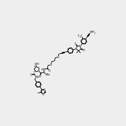 Cc1ncsc1-c1ccc(CNC(=O)[C@@H]2C[C@@H](O)CN2C(=O)C(NC(=O)COCCCOCC#Cc2ccc(N3C(=S)N(c4ccc(C#CN)c(C(F)(F)F)c4)C(=O)C3(C)C)cc2)C(C)(C)C)cc1